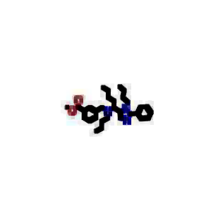 CCCCC(c1cnc(-c2ccccc2)n1CCCC)N(CCCC)Cc1cccc(C(=O)OC)c1